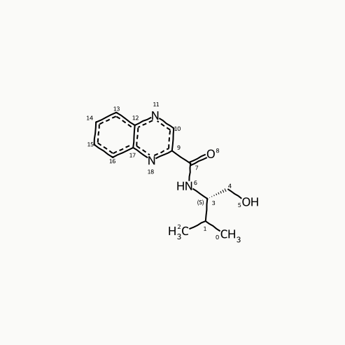 CC(C)[C@@H](CO)NC(=O)c1cnc2ccccc2n1